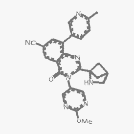 COc1ncc(-n2c(C34CC(CN3)C4)nc3c(-c4ccc(C)nc4)cc(C#N)cc3c2=O)cn1